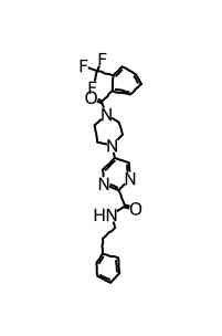 O=C(NCCc1ccccc1)c1ncc(N2CCN(C(=O)c3ccccc3C(F)(F)F)CC2)cn1